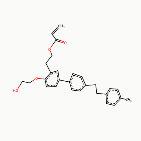 C=CC(=O)OCCc1cc(-c2ccc(CCc3ccc(C)cc3)cc2)ccc1OCCO